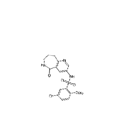 COc1ccc(Cl)cc1S(=O)(=O)Nc1cnc2c(c1)C(=O)NCCC2